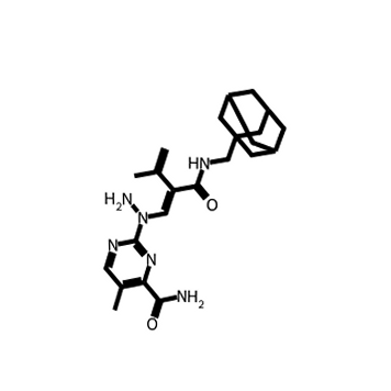 C=C(C)/C(=C\N(N)c1ncc(C)c(C(N)=O)n1)C(=O)NCC12CC3CC(CC(C3)C1)C2